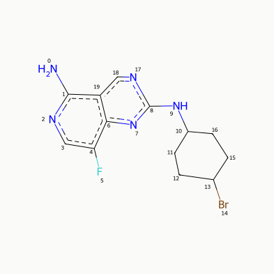 Nc1ncc(F)c2nc(NC3CCC(Br)CC3)ncc12